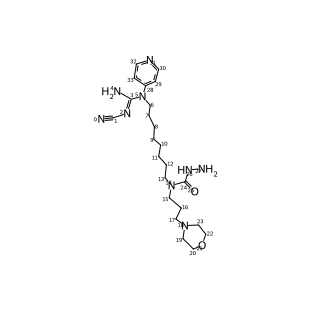 N#CN=C(N)N(CCCCCCCCN(CCCN1CCOCC1)C(=O)NN)c1ccncc1